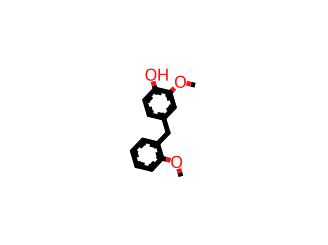 COc1cc(Cc2ccccc2OC)ccc1O